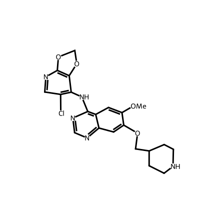 COc1cc2c(Nc3c(Cl)cnc4c3OCO4)ncnc2cc1OCC1CCNCC1